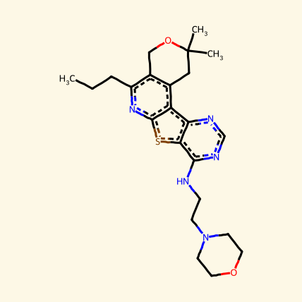 CCCc1nc2sc3c(NCCN4CCOCC4)ncnc3c2c2c1COC(C)(C)C2